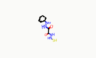 O=C(NNS)C(=O)NNc1ccccc1